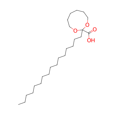 CCCCCCCCCCCCCCCCC1(C(=O)O)OCCCCCCO1